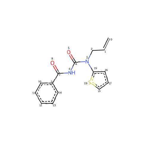 C=CCN(C(=O)NC(=O)c1ccccc1)c1cccs1